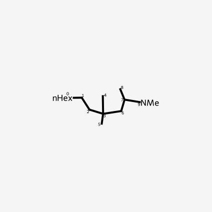 CCCCCCCCC(C)(C)CC(C)NC